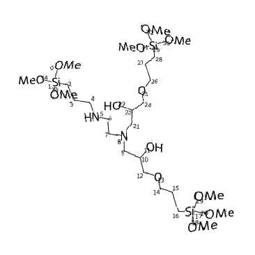 CO[Si](CCCNCCN(CC(O)COCCC[Si](OC)(OC)OC)CC(O)COCCC[Si](OC)(OC)OC)(OC)OC